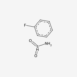 Fc1ccccc1.N[SH](=O)=O